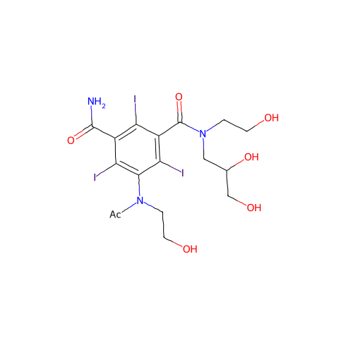 CC(=O)N(CCO)c1c(I)c(C(N)=O)c(I)c(C(=O)N(CCO)CC(O)CO)c1I